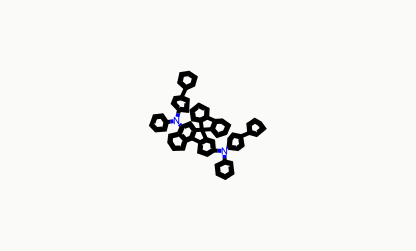 c1ccc(-c2ccc(N(c3ccccc3)c3ccc4c(c3)C3(c5ccccc5-c5ccccc53)c3cc(N(c5ccccc5)c5ccc(-c6ccccc6)cc5)c5ccccc5c3-4)cc2)cc1